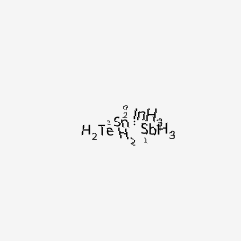 [InH3].[SbH3].[SnH2].[TeH2]